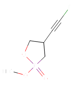 COP1(=O)CC(C#CF)CO1